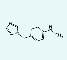 CNC1=CC=C(Cn2ccnc2)CC1